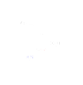 CC(C)C[C@@H](CC(N)=O)CC(=O)O